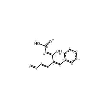 C=CC=CC(=Cc1ccccc1)C(O)=CC(=O)O